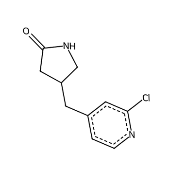 O=C1CC(Cc2ccnc(Cl)c2)CN1